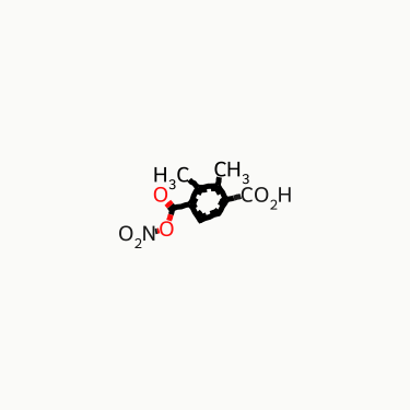 Cc1c(C(=O)O)ccc(C(=O)O[N+](=O)[O-])c1C